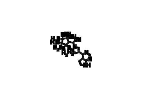 BC1(B)C(C(C#N)n2cc(-c3ncnc4[nH]ccc34)cn2)C(B)(B)C(B)(B)C1(B)B